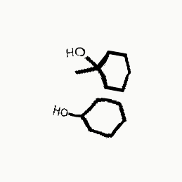 CC1(O)CCCCC1.OC1CCCCC1